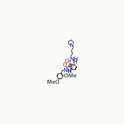 COc1ccc(CNC(=O)[C@H]2[C@H](C(=O)NCCCCN3CCCC3)[C@H]3C=C[C@@H]2C32CC2)c(OC)c1